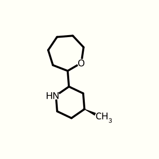 C[C@H]1CCNC(C2CCCCCO2)C1